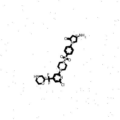 N[C@@H]1CC(=O)N(c2ccc(S(=O)(=O)N3CCN(c4cc(C(F)(F)[C@@H]5CNCCO5)cc(Cl)n4)CC3)cc2)C1